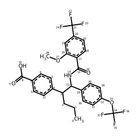 CCCC(c1ccc(C(=O)O)cc1)C(NC(=O)c1ccc(C(F)(F)F)cc1OC)c1ccc(OC(F)(F)F)cc1